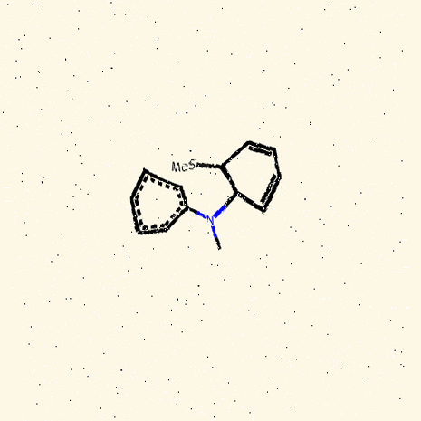 CSC1C=CC=CC1N(C)c1ccccc1